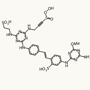 COc1nc(N)nc(Nc2ccc(C=Cc3ccc(Nc4nc(NCC#CS(=O)OO)nc(NCCS(=O)(=O)O)n4)cc3)c(S(=O)(=O)O)c2)n1